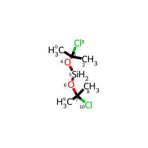 CC(C)(Cl)O[SiH2]OC(C)(C)Cl